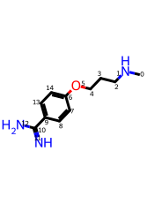 CNCCCOc1ccc(C(=N)N)cc1